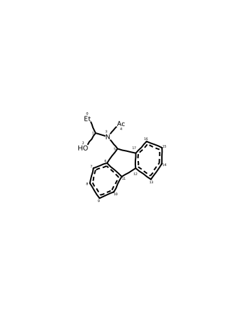 CCC(O)N(C(C)=O)C1c2ccccc2-c2ccccc21